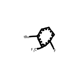 CC(C)(C)c1cccc(F)c1C(F)(F)F